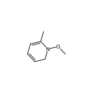 CON1CC=CC=C1C